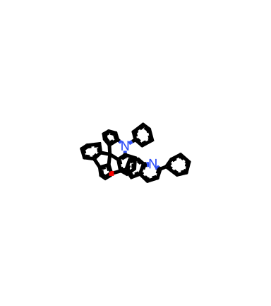 c1ccc(-c2ccc3cc(-c4cccc5c4C4(c6ccccc6-5)c5ccccc5N(c5ccccc5)c5ccccc54)ccc3n2)cc1